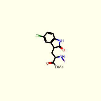 COC(=O)C(CC1C(=O)Nc2ccc(Cl)cc21)NI